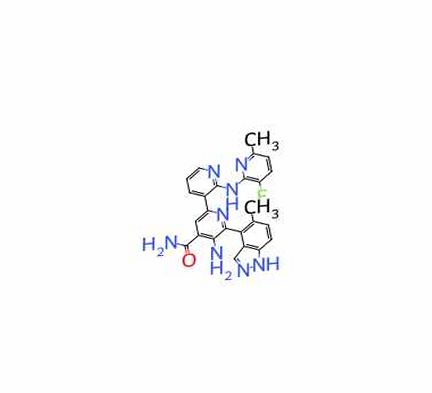 Cc1ccc(F)c(Nc2ncccc2-c2cc(C(N)=O)c(N)c(-c3c(C)ccc4[nH]ncc34)n2)n1